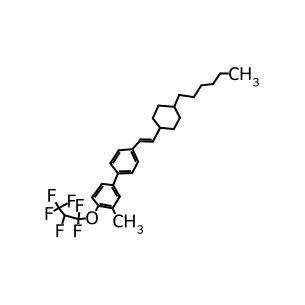 CCCCCCC1CCC(C=Cc2ccc(-c3ccc(OC(F)(F)C(F)C(F)(F)F)c(C)c3)cc2)CC1